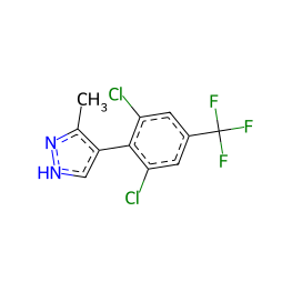 Cc1n[nH]cc1-c1c(Cl)cc(C(F)(F)F)cc1Cl